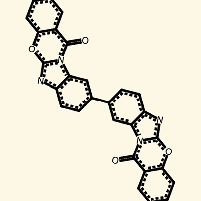 O=c1c2ccccc2oc2nc3ccc(-c4ccc5nc6oc7ccccc7c(=O)n6c5c4)cc3n12